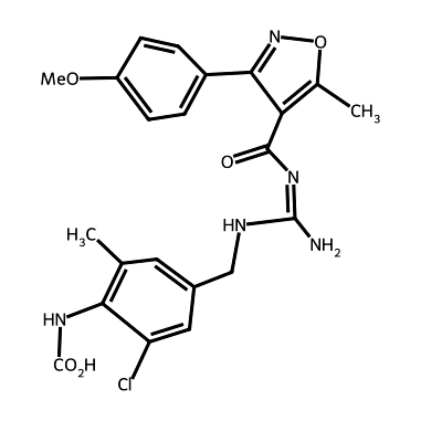 COc1ccc(-c2noc(C)c2C(=O)/N=C(/N)NCc2cc(C)c(NC(=O)O)c(Cl)c2)cc1